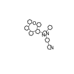 c1ccc(-c2cc(-c3ccc4c(c3)-c3ccccc3Oc3ccccc3-c3ccccc3-c3ccccc3-4)nc(-c3ccc(-c4cccnc4)cc3)n2)cc1